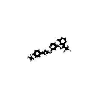 O=C1CCCc2c(C(F)(F)F)nn(-c3ccnc(OC4CC(c5ccc6c(c5)OC(F)(F)O6)S4)c3)c21